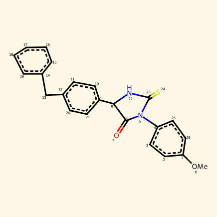 COc1ccc(N2C(=O)C(c3ccc(Cc4ccccc4)cc3)NC2=S)cc1